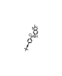 Cc1nc2cc(NC(=O)c3ccc(C#CC(C)(C)C)cc3)ccc2s1